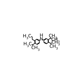 CCCc1cc(Nc2ccc(C(C)C)c(C(C)C)c2)ccc1C(C)C